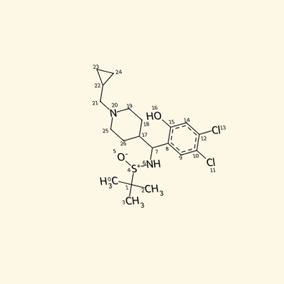 CC(C)(C)[S+]([O-])NC(c1cc(Cl)c(Cl)cc1O)C1CCN(CC2CC2)CC1